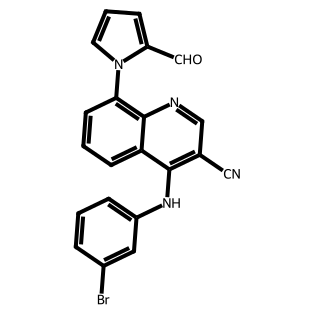 N#Cc1cnc2c(-n3cccc3C=O)cccc2c1Nc1cccc(Br)c1